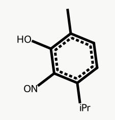 Cc1ccc(C(C)C)c(N=O)c1O